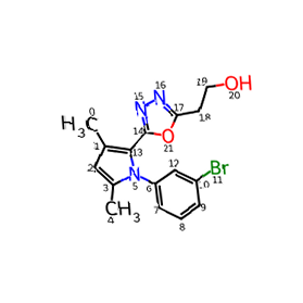 Cc1[c]c(C)n(-c2cccc(Br)c2)c1-c1nnc(CCO)o1